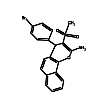 CS(=O)(=O)C1=C(N)Oc2c(ccc3ccccc23)C1c1ccc(Br)cc1